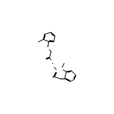 COc1ccccc1CC(O)=POOC(=O)COc1ccccc1C